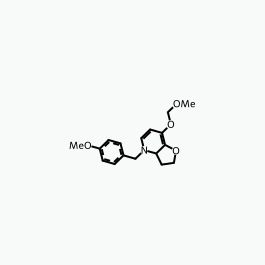 COCOC1=C2OCCC2N(Cc2ccc(OC)cc2)C=C1